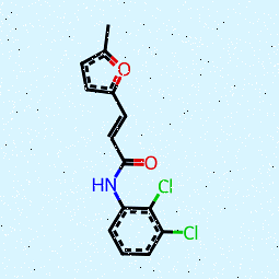 Cc1ccc(C=CC(=O)Nc2cccc(Cl)c2Cl)o1